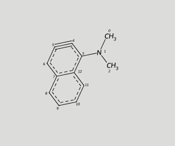 CN(C)c1c#ccc2ccccc12